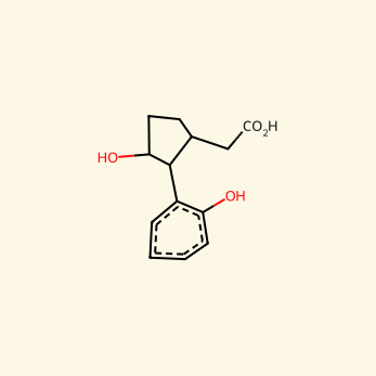 O=C(O)CC1CCC(O)C1c1ccccc1O